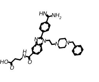 N=C(N)c1ccc(-c2nc3cc(C(=O)NCCC(=O)O)ccc3n2CCN2CCN(Cc3ccccc3)CC2)cc1